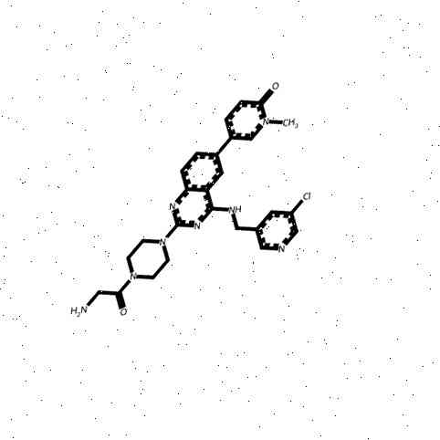 Cn1cc(-c2ccc3nc(N4CCN(C(=O)CN)CC4)nc(NCc4cncc(Cl)c4)c3c2)ccc1=O